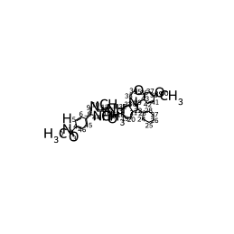 CNC(=O)c1ccc(-c2cnc(C(C)(C)NC(=O)c3ccc4c(C5CCCCC5)c5n(c4c3)CCOc3cc(OC)ccc3-5)[nH]2)cc1